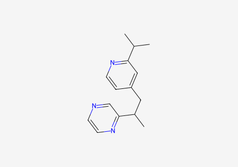 CC(C)c1cc(CC(C)c2cnccn2)ccn1